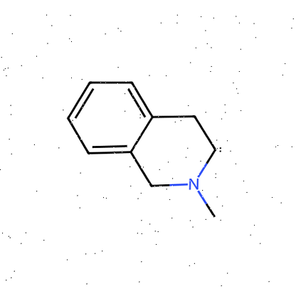 CN1[C]Cc2ccccc2C1